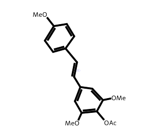 COc1ccc(/C=C/c2cc(OC)c(OC(C)=O)c(OC)c2)cc1